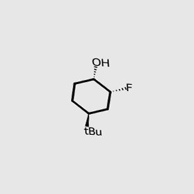 CC(C)(C)[C@H]1CC[C@H](O)[C@H](F)C1